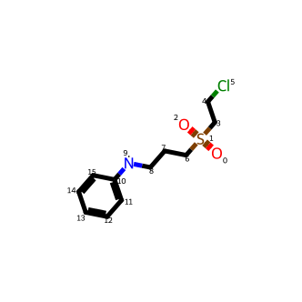 O=S(=O)(CCCl)CCC[N]c1ccccc1